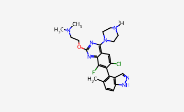 [3H]N1CCN(c2nc(OCCN(C)C)nc3c(F)c(-c4c(C)ccc5[nH]ncc45)c(Cl)cc23)CC1